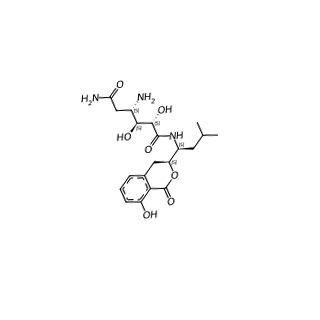 CC(C)C[C@H](NC(=O)[C@@H](O)[C@@H](O)[C@@H](N)CC(N)=O)[C@@H]1Cc2cccc(O)c2C(=O)O1